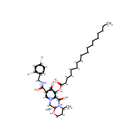 CCCCCCCCCCCCCCCCCC(=O)Oc1c2n(cc(C(=O)NCc3ccc(F)cc3F)c1=O)C[C@@H]1OCCC(C)N1C2=O